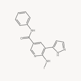 O=C(Nc1ccccc1)c1cnc(NI)c(-c2ccn[nH]2)c1